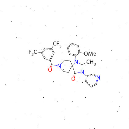 COc1ccccc1N1C(C)N(c2cccnc2)C(=O)C12CCN(C(=O)c1cc(C(F)(F)F)cc(C(F)(F)F)c1)CC2